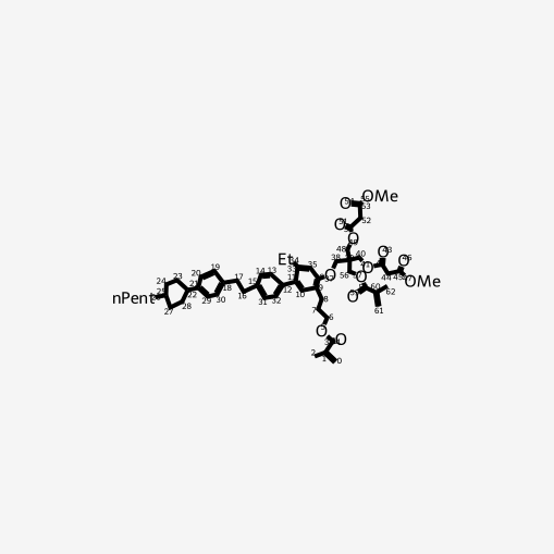 C=C(C)C(=O)OCCCc1cc(-c2ccc(CCc3ccc(C4CCC(CCCCC)CC4)cc3)cc2)c(CC)cc1OCC(COC(=O)CC(=O)OC)(COC(=O)CC(=O)OC)COC(=O)C(=C)C